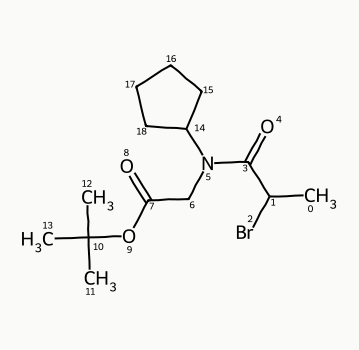 CC(Br)C(=O)N(CC(=O)OC(C)(C)C)C1CCCC1